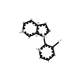 Ic1cccnc1-n1ccc2ccncc21